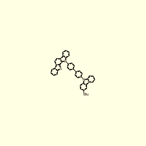 CC(C)(C)c1ccc2c(c1)c1ccccc1n2-c1ccc(-c2ccc(-n3c4ccccc4c4ccc5c6ccccc6sc5c43)cc2)cc1